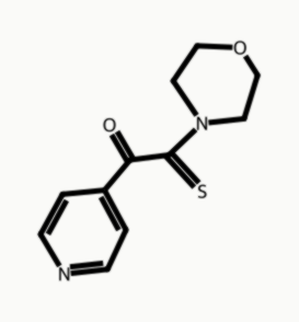 O=C(C(=S)N1CCOCC1)c1ccncc1